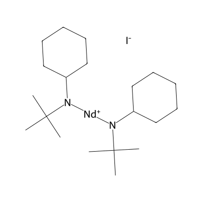 CC(C)(C)[N]([Nd+][N](C1CCCCC1)C(C)(C)C)C1CCCCC1.[I-]